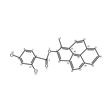 Cc1c(OC(=O)c2ccc(Cl)cc2Cl)cc2ccc3cccc4ccc1c2c34